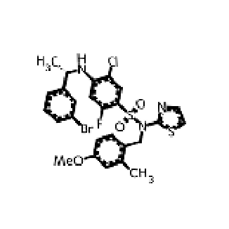 COc1ccc(CN(c2nccs2)S(=O)(=O)c2cc(Cl)c(N[C@@H](C)c3cccc(Br)c3)cc2F)c(C)c1